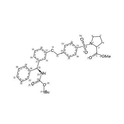 COC(=O)C1CCCN1S(=O)(=O)c1ccc(COc2cccc([C@@H](NC(=O)OC(C)(C)C)c3ccccc3)c2)cc1